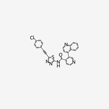 O=C(Nc1nnc(C#Cc2ccc(Cl)cc2)s1)c1ccncc1-c1ccnc2ccccc12